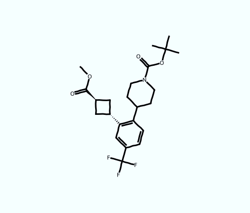 COC(=O)[C@H]1C[C@H](c2cc(C(F)(F)F)ccc2C2CCN(C(=O)OC(C)(C)C)CC2)C1